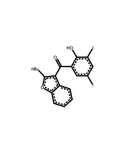 CCCCc1oc2ccccc2c1C(=O)c1cc(I)cc(I)c1O